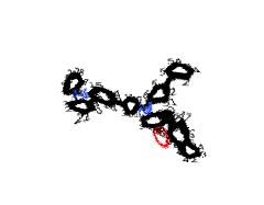 c1ccc(-c2ccc(N(c3ccc(-c4ccc5c(c4)c4ccccc4n5-c4ccccc4)cc3)c3ccc4oc5c6ccccc6ccc5c4c3)cc2)cc1